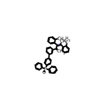 C=C(/C(=C(/C)c1ccccc1C)c1ccccc1C)c1cccc(-c2ccc(P(=O)(c3ccccc3)c3ccccc3)cc2)c1